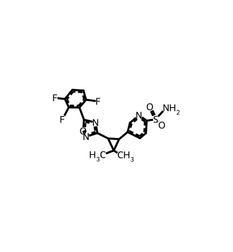 CC1(C)C(c2ccc(S(N)(=O)=O)nc2)C1c1noc(-c2c(F)ccc(F)c2F)n1